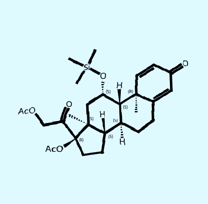 CC(=O)OCC(=O)[C@@]1(OC(C)=O)CC[C@H]2[C@@H]3CCC4=CC(=O)C=C[C@]4(C)[C@H]3[C@@H](O[Si](C)(C)C)C[C@@]21C